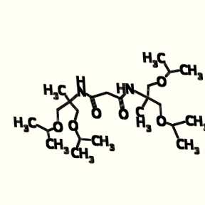 CC(C)OCC(C)(COC(C)C)NC(=O)CC(=O)NC(C)(COC(C)C)COC(C)C